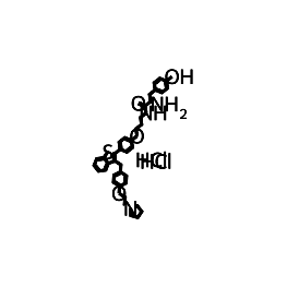 Cl.Cl.NC(Cc1ccc(O)cc1)C(=O)NCCCOc1ccc(-c2sc3ccccc3c2Cc2ccc(OCCN3CCCC3)cc2)cc1